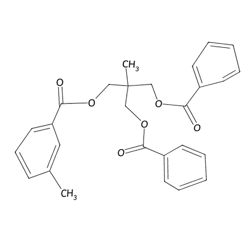 Cc1cccc(C(=O)OCC(C)(COC(=O)c2ccccc2)COC(=O)c2ccccc2)c1